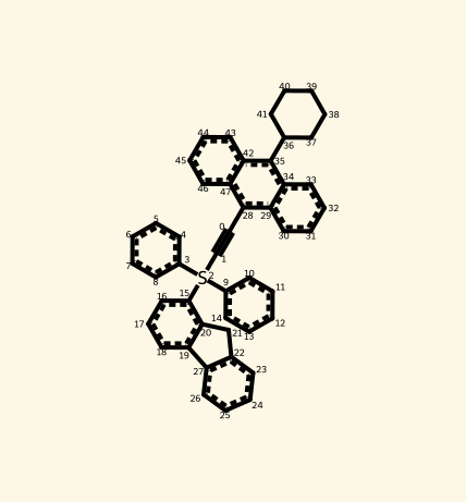 C(#CS(c1ccccc1)(c1ccccc1)c1cccc2c1Cc1ccccc1-2)c1c2ccccc2c(C2CCCCC2)c2ccccc12